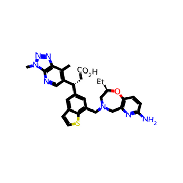 CC[C@@H]1CN(Cc2cc([C@@H](CC(=O)O)c3cnc4c(nnn4C)c3C)cc3ccsc23)Cc2nc(N)ccc2O1